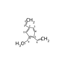 C=Cc1ccc(C=C)c(CC)c1